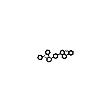 C1=CC(c2ccc(-c3ccc4c5c(cccc35)-c3ccccc3S4)cc2)C2C(=C1)N(c1ccccc1)c1ccccc12